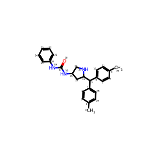 Cc1ccc(C(c2ccc(C)cc2)C2CC(NC(=O)Nc3ccccc3)CN2)cc1